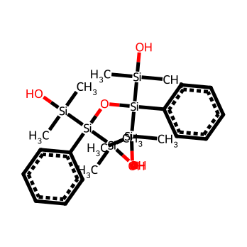 C[Si](C)(O)[Si](O[Si](c1ccccc1)([Si](C)(C)O)[Si](C)(C)O)(c1ccccc1)[Si](C)(C)O